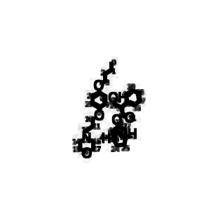 CCCCOc1ccc(OCCCN2CCOCC2)cc1.CN1[C@@H]2CC[C@H]1C[C@@H](OC(=O)C(CO)c1ccccc1)C2